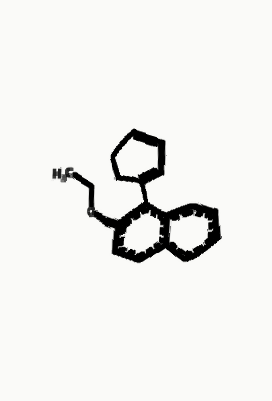 CCOc1ccc2ccccc2c1C1=CC=CC[CH]1